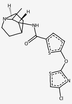 C[C@H]1[C@H](NC(=O)c2ccc(Oc3nc(Cl)cs3)s2)C2CCN1CC2